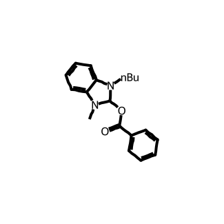 CCCCN1c2ccccc2N(C)C1OC(=O)c1ccccc1